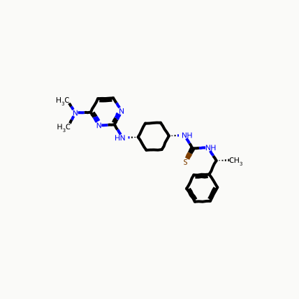 C[C@@H](NC(=S)N[C@H]1CC[C@@H](Nc2nccc(N(C)C)n2)CC1)c1ccccc1